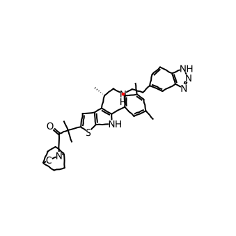 Cc1cc(C)cc(-c2[nH]c3sc(C(C)(C)C(=O)N4CC5CCC4CC5)cc3c2[C@H](C)CNCCc2ccc3[nH]nnc3c2)c1